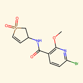 COc1nc(Br)ccc1C(=O)NC1C=CS(=O)(=O)C1